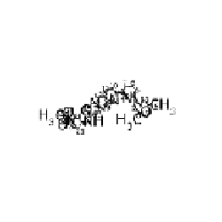 C[C@@H]1CN(c2cccc(-c3ccc4cnc(CC(=O)NC5CCN(S(C)(=O)=O)C5)cc4n3)n2)C[C@H](C)O1